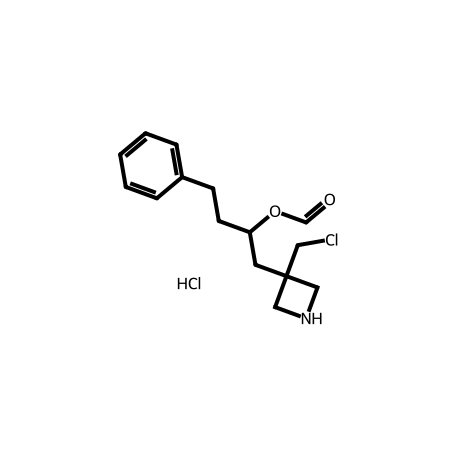 Cl.O=COC(CCc1ccccc1)CC1(CCl)CNC1